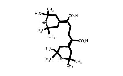 CC1(C)CC(=C(CCC(C(=O)O)=C2CC(C)(C)NC(C)(C)C2)C(=O)O)CC(C)(C)N1